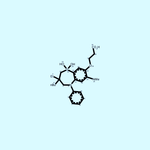 CCCCC1(CC)CN(c2ccccc2)c2cc(NC)c(OCCC(=O)O)cc2S(O)(O)C1